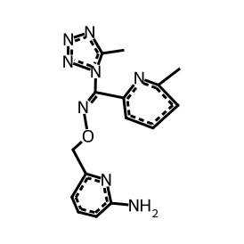 Cc1cccc(/C(=N\OCc2cccc(N)n2)n2nnnc2C)n1